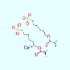 C=C(C)C(=O)OCCCCCCS(=O)(=O)[O-].C=C(C)C(=O)OCCCCCCS(=O)(=O)[O-].[Ca+2]